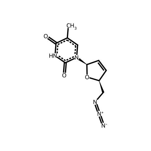 Cc1cn([C@H]2C=C[C@@H](CN=[N+]=[N-])O2)c(=O)[nH]c1=O